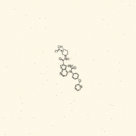 CC(=O)N1CCC[C@@H](NC(=O)c2sc3nccc4c3c2NC(=O)N4c2ccc(Oc3ccccn3)cc2)C1